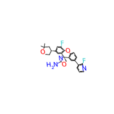 CC1(C)C[C@@H](c2cc(F)c3c(c2)[C@]2(COC(N)=N2)c2cc(-c4cccnc4F)ccc2O3)CCO1